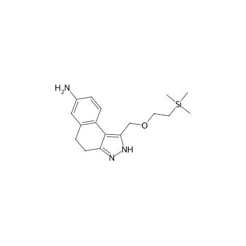 C[Si](C)(C)CCOCc1[nH]nc2c1-c1ccc(N)cc1CC2